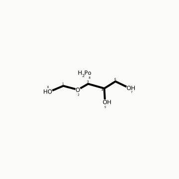 OCOCC(O)CO.[PoH2]